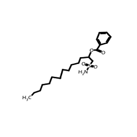 CCCCCCCCCCCCC(CS(N)(=O)=O)OC(=O)c1ccccc1